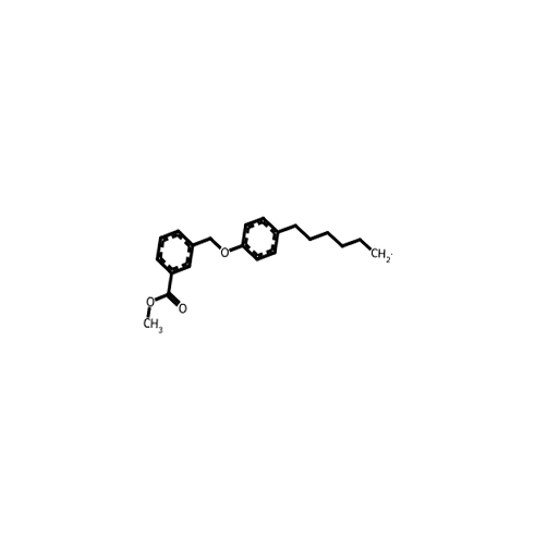 [CH2]CCCCCc1ccc(OCc2cccc(C(=O)OC)c2)cc1